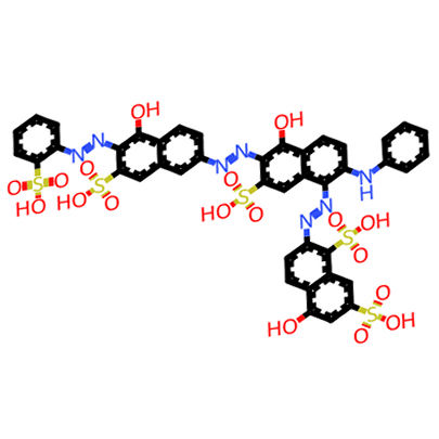 O=S(=O)(O)c1cc(O)c2ccc(N=Nc3c(Nc4ccccc4)ccc4c(O)c(N=Nc5ccc6c(O)c(N=Nc7ccccc7S(=O)(=O)O)c(S(=O)(=O)O)cc6c5)c(S(=O)(=O)O)cc34)c(S(=O)(=O)O)c2c1